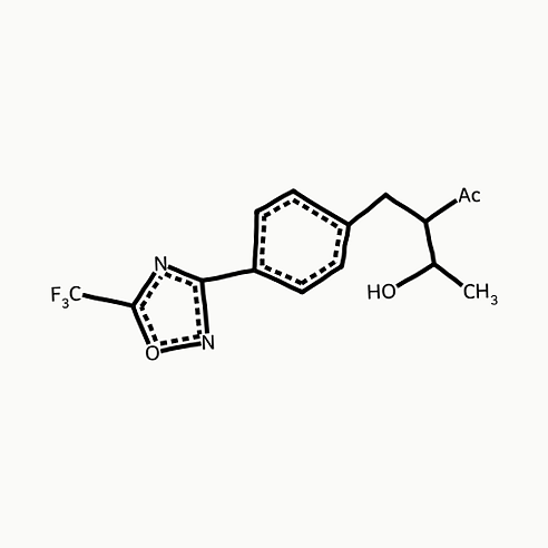 CC(=O)C(Cc1ccc(-c2noc(C(F)(F)F)n2)cc1)C(C)O